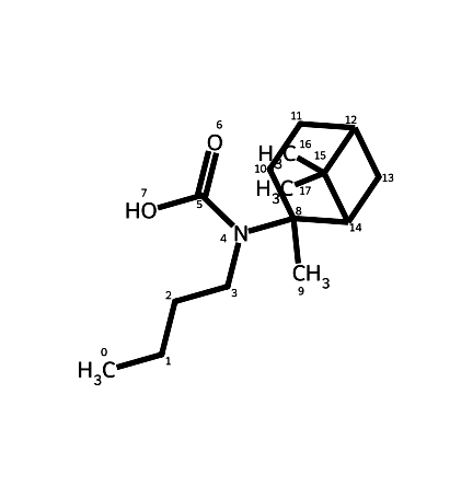 CCCCN(C(=O)O)C1(C)CCC2CC1C2(C)C